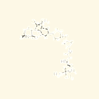 Cn1c(=O)n(C2CCC(=O)NC2=O)c2ccc(C3CCN(C[C@H]4C[C@H](OCCNC(=O)OC(C)(C)C)C4)CC3)cc21